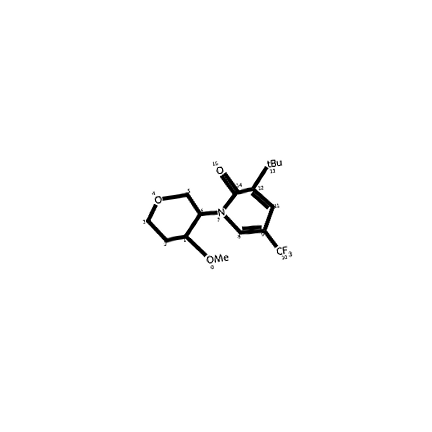 COC1CCOCC1n1cc(C(F)(F)F)cc(C(C)(C)C)c1=O